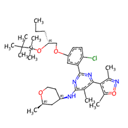 CCC[C@H](COc1ccc(Cl)c(-c2nc(N[C@@H]3CCO[C@H](C)C3)c(C)c(-c3c(C)noc3C)n2)c1)O[Si](C)(C)C(C)(C)C